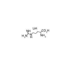 N=C(N)NCCC[C@H](N)C(=O)O.[LiH]